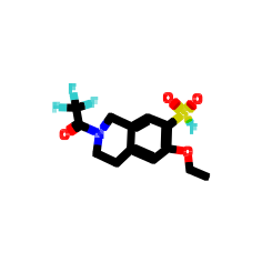 CCOc1cc2c(cc1S(=O)(=O)F)CN(C(=O)C(F)(F)F)CC2